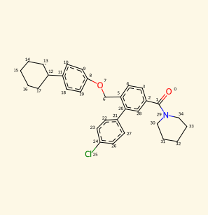 O=C(c1ccc(COc2ccc(C3[CH]CCCC3)cc2)c(-c2ccc(Cl)cc2)c1)N1CCCCC1